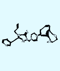 C=CCn1c(-c2cccnc2)nn(CN2CCN(c3cccc4c3OCCO4)CC2)c1=S